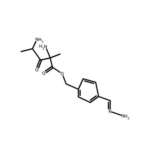 CC(N)C(=O)C(C)(N)C(=O)OCc1ccc(C=NN)cc1